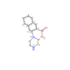 COC(=O)c1cc2ccccc2cc1N1CCNCC1